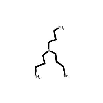 NCCCP(CCCN)CCCO